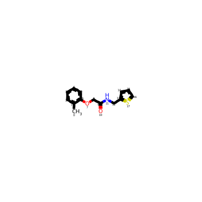 Cc1ccccc1OCC(=O)NCc1cccs1